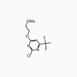 COCCOc1cc(C(C)(F)F)nc(Cl)n1